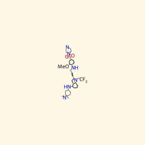 COc1cc(S(=O)(=O)N2CCN(C)CC2)ccc1NCC#Cc1cc2c(NC3CCC(C)(N(C)C)CC3)cccc2n1CC(F)(F)F